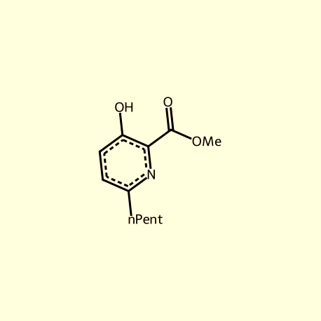 CCCCCc1ccc(O)c(C(=O)OC)n1